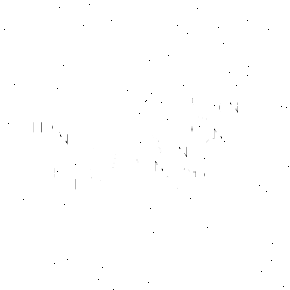 CN1CC[C@@H](Oc2ccc(N3C(=S)N(c4cnc(C#N)c(C(F)(F)F)c4)C(=O)C34CCC4)cc2)C(F)(F)C1